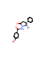 CC[C@H]1[C@H](c2ccccc2)CC(=O)N1NC(=O)c1ccc(Br)cc1